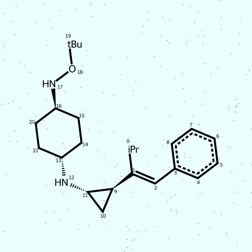 CC(C)/C(=C\c1ccccc1)[C@H]1C[C@@H]1N[C@H]1CC[C@H](NOC(C)(C)C)CC1